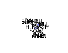 C=C(/N=C(\N=C(/N)c1ccc(OC)cc1)c1ccc(OCC(CC)CCCC)cc1O)c1ccc(OCC(CC)CCCC)cc1O